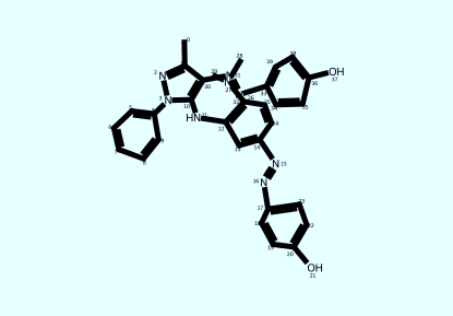 Cc1nn(-c2ccccc2)c(Nc2cc(N=Nc3ccc(O)cc3)ccc2N(C)C)c1N=Nc1ccc(O)cc1